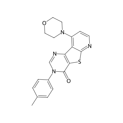 Cc1ccc(-n2cnc3c(sc4nccc(N5CCOCC5)c43)c2=O)cc1